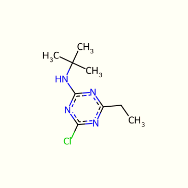 CCc1nc(Cl)nc(NC(C)(C)C)n1